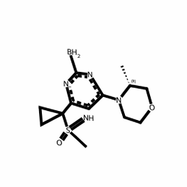 Bc1nc(N2CCOC[C@H]2C)cc(C2(S(C)(=N)=O)CC2)n1